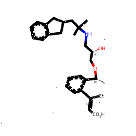 CC/C(=C\C(=O)O)c1ccccc1[C@@H](C)OC[C@@H](O)CNC(C)(C)CC1Cc2ccccc2C1